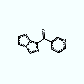 O=C(c1cccnc1)c1ncn2ccsc12